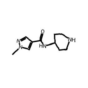 Cn1cc(C(=O)NC2CCNCC2)cn1